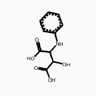 O=C(O)C(O)C(Nc1ccccc1)C(=O)O